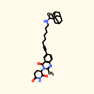 Cc1nc2ccc(C#CCCCCCCNC(C)C34CC5CC(CC(C5)C3)C4)cc2c(=O)n1C1CCC(=O)NC1=O